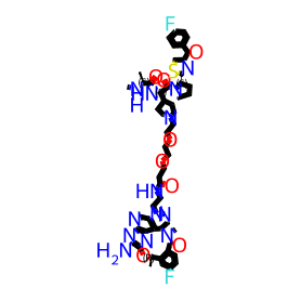 CN[C@@H](C)C(=O)N[C@H](C(=O)N1CCC[C@H]1C1=NC(C(=O)c2ccc(F)cc2)CS1)C1CCN(CCOCCOCCC(=O)NCCN2N=CC3C(=C2C#N)c2cnc(N)c(n2)O[C@H](C)c2cc(F)ccc2C(=O)N3C)CC1